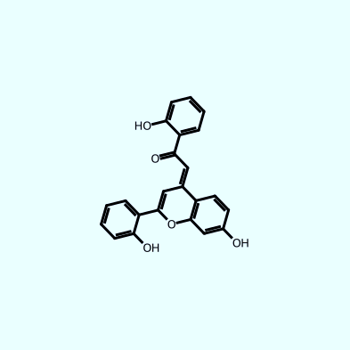 O=C(C=C1C=C(c2ccccc2O)Oc2cc(O)ccc21)c1ccccc1O